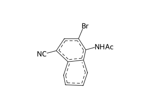 CC(=O)Nc1c(Br)cc(C#N)c2ccccc12